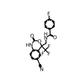 N#Cc1ccc2c(c1)C(CNC(=O)c1ccc(F)cc1)(C(F)(F)F)OC(=O)N2